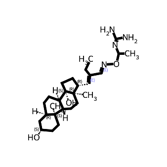 CCC(/C=N/OC(C)N=C(N)N)=C\[C@H]1CC[C@]2(O)[C@@H]3CC[C@@H]4C[C@@H](O)CC[C@]4(C)[C@H]3CC[C@]12C